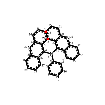 c1ccc2c(N(c3ccncc3)c3c4ccccc4nc4ccccc34)c3ccccc3nc2c1